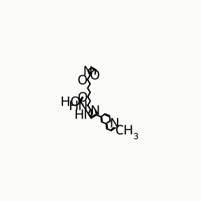 Cc1ccc2cc(-c3c[nH]c(C(CCCCCC(=O)c4ncco4)NC(=O)O)n3)ccc2n1